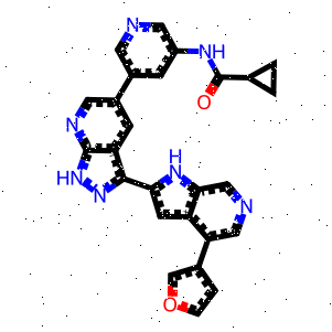 O=C(Nc1cncc(-c2cnc3[nH]nc(-c4cc5c(-c6ccoc6)cncc5[nH]4)c3c2)c1)C1CC1